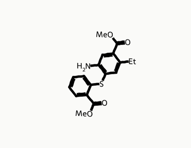 CCc1cc(Sc2ccccc2C(=O)OC)c(N)cc1C(=O)OC